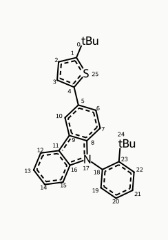 CC(C)(C)c1ccc(-c2ccc3c(c2)c2ccccc2n3-c2ccccc2C(C)(C)C)s1